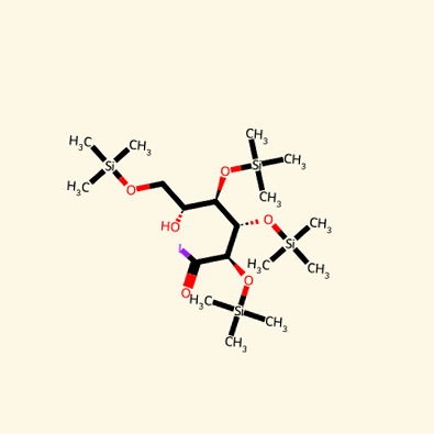 C[Si](C)(C)OC[C@@H](O)[C@@H](O[Si](C)(C)C)[C@H](O[Si](C)(C)C)[C@@H](O[Si](C)(C)C)C(=O)I